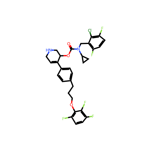 O=C(OC1CNCC=C1c1ccc(CCCOc2c(F)ccc(F)c2F)cc1)N(Cc1c(F)ccc(F)c1Cl)C1CC1